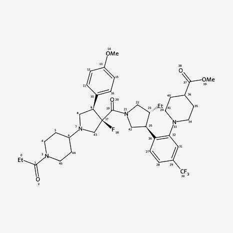 CCC(=O)N1CCC(N2C[C@@H](c3ccc(OC)cc3)[C@](F)(C(=O)N3C[C@H](CC)[C@@H](c4ccc(C(F)(F)F)cc4N4CCC(C(=O)OC)CC4)C3)C2)CC1